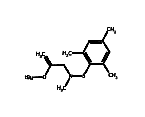 C=C(CN(C)Sc1c(C)cc(C)cc1C)OC(C)(C)C